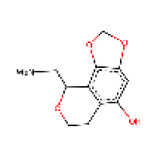 CNCC1OCCc2c(O)cc3c(c21)OCO3